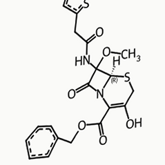 COC1(NC(=O)Cc2cccs2)C(=O)N2C(C(=O)OCc3ccccc3)=C(O)CS[C@@H]21